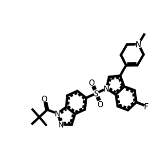 CN1CC=C(c2cn(S(=O)(=O)c3ccc4c(cnn4C(=O)C(C)(C)C)c3)c3ccc(F)cc23)CC1